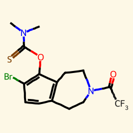 CN(C)C(=S)Oc1c(Br)ccc2c1CCN(C(=O)C(F)(F)F)CC2